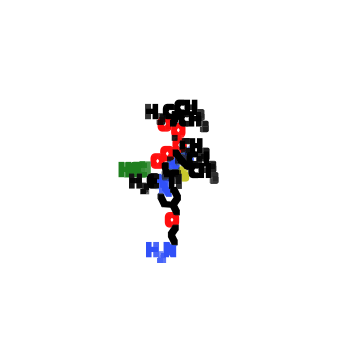 C=N[C@@]1(C(=O)OCOC(=O)C(C)(C)C)N2C(=O)[C@@H]([N+](=C)N3CCC(COCCCN)CC3)[C@H]2SC1(C)C.Cl.Cl